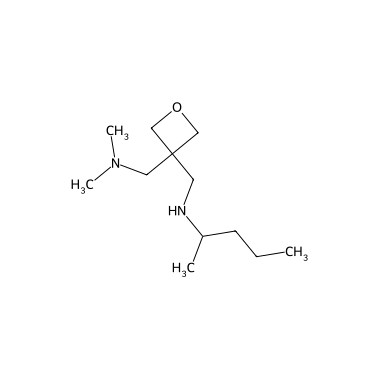 CCCC(C)NCC1(CN(C)C)COC1